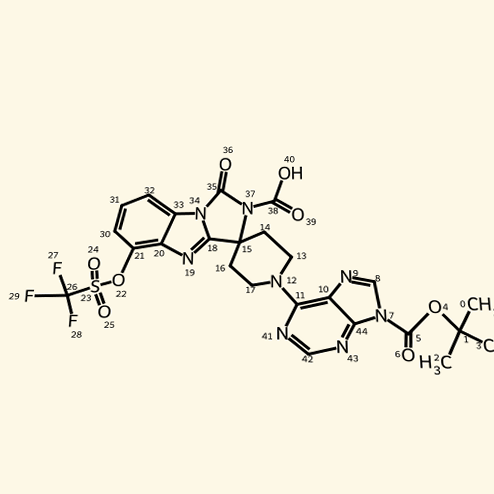 CC(C)(C)OC(=O)n1cnc2c(N3CCC4(CC3)c3nc5c(OS(=O)(=O)C(F)(F)F)cccc5n3C(=O)N4C(=O)O)ncnc21